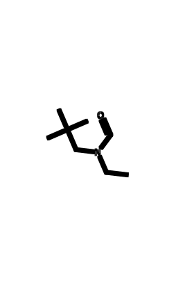 CCN(C=O)CC(C)(C)C